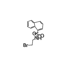 O=S(=O)(NCCBr)c1cccc2ccccc12